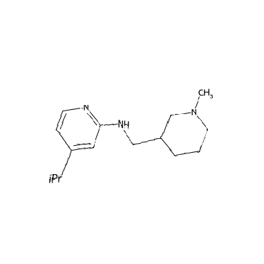 CC(C)c1ccnc(NCC2CCCN(C)C2)c1